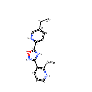 CNc1ncccc1-c1noc(-c2ccc(CC(C)C)cn2)n1